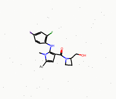 CC(=O)c1cc(C(=O)N2CCC2CO)c(Nc2ccc(I)cc2F)n1C